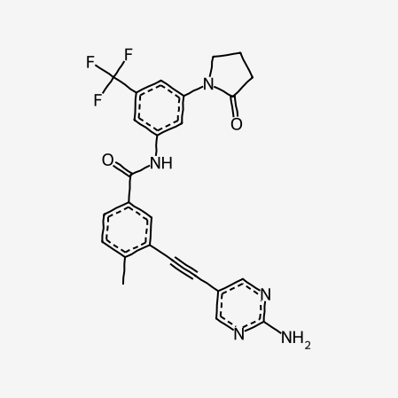 Cc1ccc(C(=O)Nc2cc(N3CCCC3=O)cc(C(F)(F)F)c2)cc1C#Cc1cnc(N)nc1